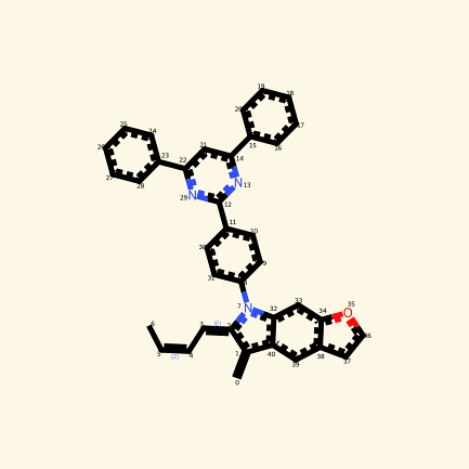 C=c1/c(=C\C=C/C)n(-c2ccc(-c3nc(-c4ccccc4)cc(-c4ccccc4)n3)cc2)c2cc3occc3cc12